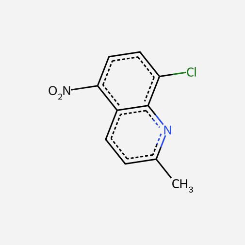 Cc1ccc2c([N+](=O)[O-])ccc(Cl)c2n1